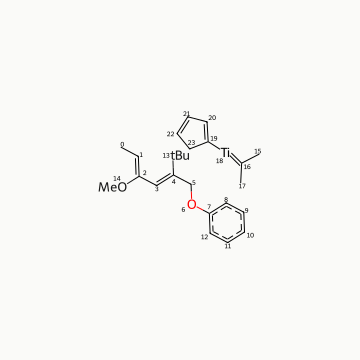 CC=C(C=C(COc1ccccc1)C(C)(C)C)OC.C[C](C)=[Ti][C]1=CC=CC1